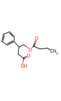 CCCC(=O)OCC(CC(=O)O)c1ccccc1